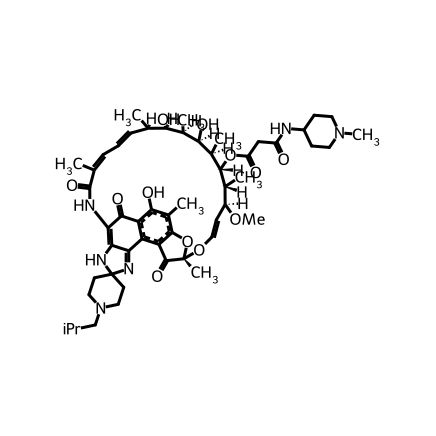 CO[C@H]1/C=C/O[C@@]2(C)Oc3c(C)c(O)c4c(c3C2=O)C2=NC3(CCN(CC(C)C)CC3)NC2=C(NC(=O)/C(C)=C\C=C\[C@H](C)[C@H](O)[C@@H](C)[C@@H](O)[C@@H](C)[C@H](OC(=O)CC(=O)NC2CCN(C)CC2)[C@@H]1C)C4=O